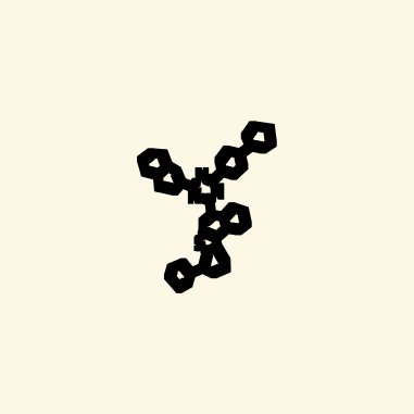 c1ccc(-c2ccc(-c3nc(-c4ccc5ccccc5c4)nc(-c4cc5sc6c(-c7ccccc7)cccc6c5c5ccccc45)n3)cc2)cc1